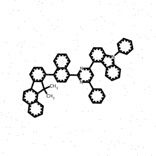 CC1(C)c2c(cccc2-c2ccc(-c3nc(-c4ccccc4)cc(-c4cccc5c4c4ccccc4n5-c4ccccc4)n3)c3ccccc23)-c2ccc3ccccc3c21